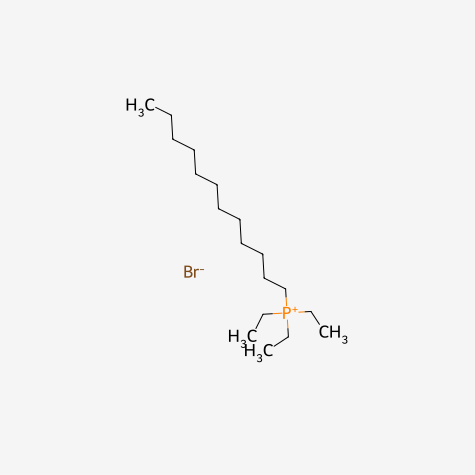 CCCCCCCCCCCC[P+](CC)(CC)CC.[Br-]